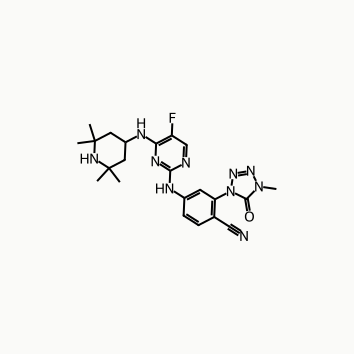 Cn1nnn(-c2cc(Nc3ncc(F)c(NC4CC(C)(C)NC(C)(C)C4)n3)ccc2C#N)c1=O